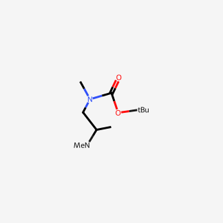 CNC(C)CN(C)C(=O)OC(C)(C)C